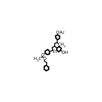 CCC(CC(CC(C)c1ccc(OC(C)=O)cc1)c1ccc(O)cc1)c1ccc(OC(C)OCCc2ccccc2)cc1